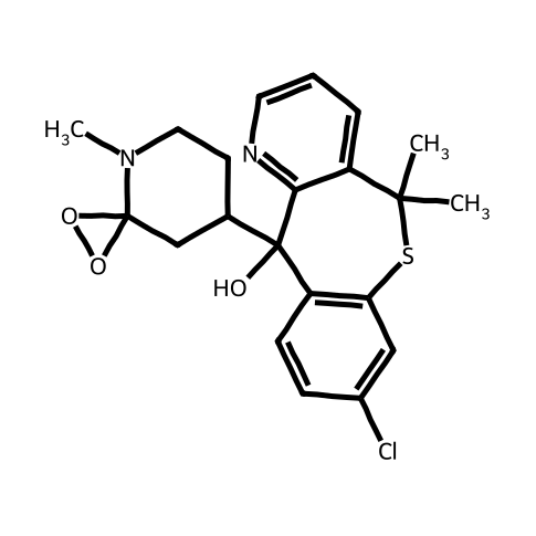 CN1CCC(C2(O)c3ccc(Cl)cc3SC(C)(C)c3cccnc32)CC12OO2